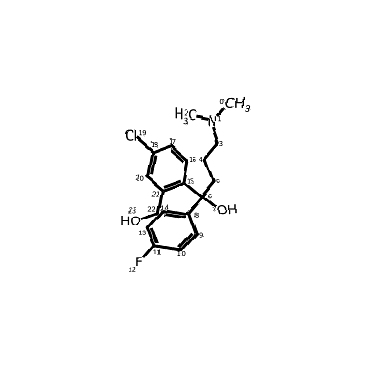 CN(C)CCCC(O)(c1ccc(F)cc1)c1ccc(Cl)cc1CO